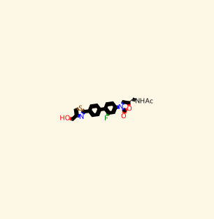 CC(=O)NC[C@H]1CN(c2ccc(-c3ccc(-c4nc(CO)cs4)cc3)c(F)c2)C(=O)O1